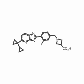 O=C(O)C1CN(Cc2ccc(-c3nc4ccc(C5(C6CC6)CC5)nc4s3)c(F)c2)C1